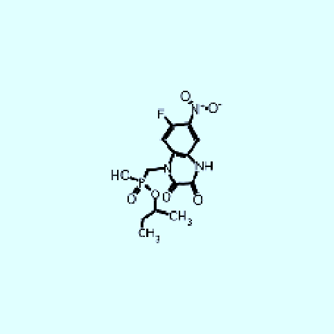 CCC(C)OP(=O)(O)Cn1c(=O)c(=O)[nH]c2cc([N+](=O)[O-])c(F)cc21